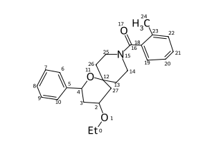 CCOC1CC(c2ccccc2)OC2(CCN(C(=O)c3ccccc3C)CC2)C1